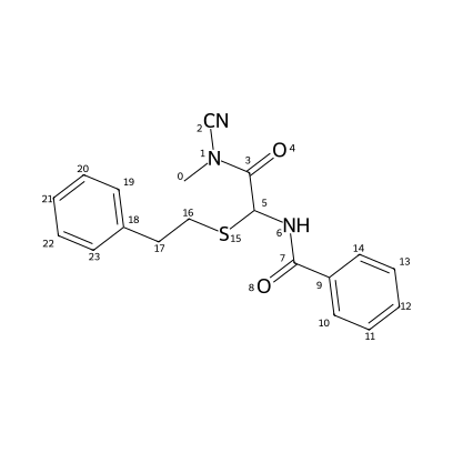 CN(C#N)C(=O)C(NC(=O)c1ccccc1)SCCc1ccccc1